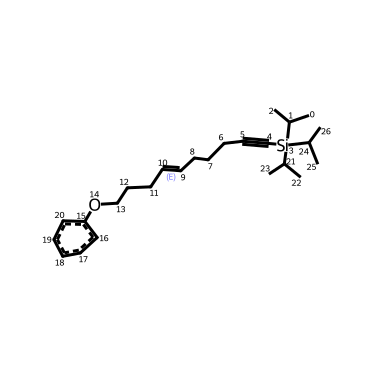 CC(C)[Si](C#CCCC/C=C/CCCOc1ccccc1)(C(C)C)C(C)C